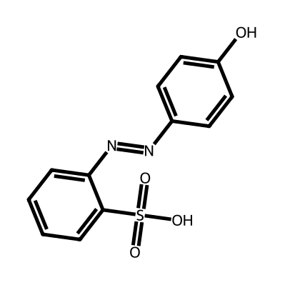 O=S(=O)(O)c1ccccc1N=Nc1ccc(O)cc1